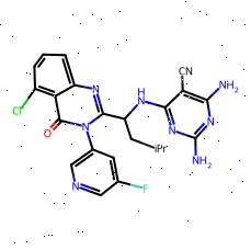 CC(C)CC(Nc1nc(N)nc(N)c1C#N)c1nc2cccc(Cl)c2c(=O)n1-c1cncc(F)c1